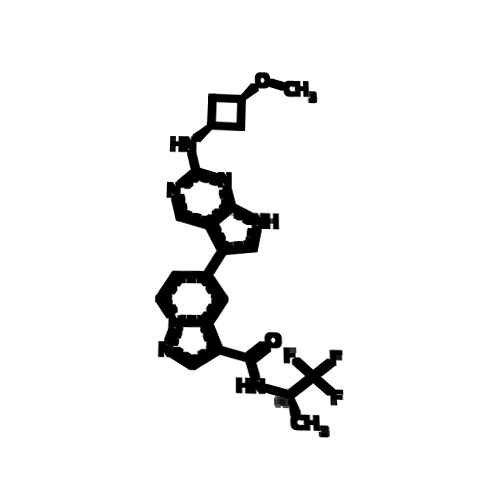 CO[C@H]1C[C@@H](Nc2ncc3c(-c4ccn5ncc(C(=O)N[C@H](C)C(F)(F)F)c5c4)c[nH]c3n2)C1